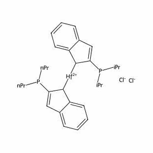 CCCP(CCC)C1=Cc2ccccc2[CH]1[Hf+2][CH]1C(P(C(C)C)C(C)C)=Cc2ccccc21.[Cl-].[Cl-]